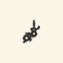 CC#Cc1sc2c(NC3CCN(C)CC3(F)F)nccc2c1CC